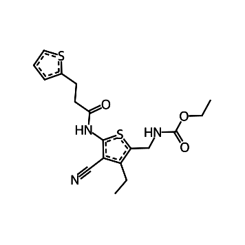 CCOC(=O)NCc1sc(NC(=O)CCc2cccs2)c(C#N)c1CC